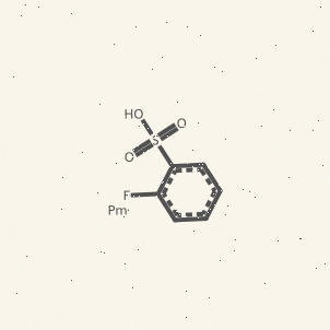 O=S(=O)(O)c1ccccc1F.[Pm]